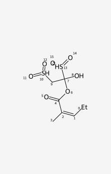 CCC=C(C)C(=O)OC(O)(C[SH](=O)=O)[SH](=O)=O